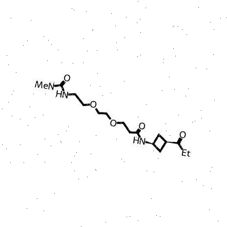 CCC(=O)[C@H]1C[C@@H](NC(=O)CCOCCOCCNC(=O)NC)C1